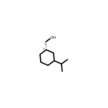 CC(C)C1CCC[C@H](CO)C1